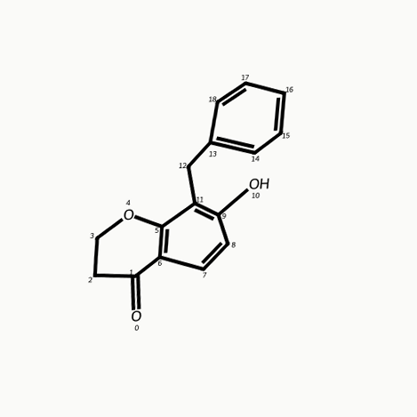 O=C1CCOc2c1ccc(O)c2Cc1ccccc1